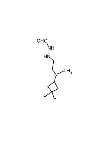 CN(CCNNC=O)C1CC(F)(F)C1